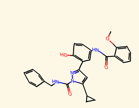 COc1ccccc1C(=O)Nc1ccc(O)c(-c2cc(C3CC3)n(C(=O)NCc3ccccc3)n2)c1